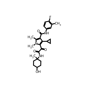 Cc1cc(NC(=O)c2c(C3CC3)c(C(=O)C(=O)NC3(C)CCC(O)CC3)n(C)c2C)ccc1F